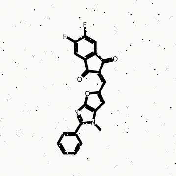 Cn1c(-c2ccccc2)nc2oc(C=C3C(=O)c4cc(F)c(F)cc4C3=O)cc21